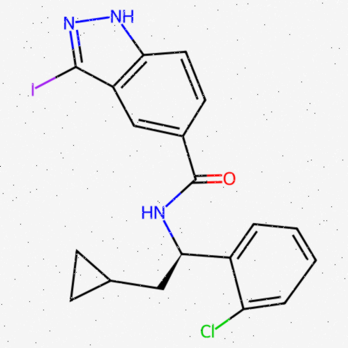 O=C(N[C@H](CC1CC1)c1ccccc1Cl)c1ccc2[nH]nc(I)c2c1